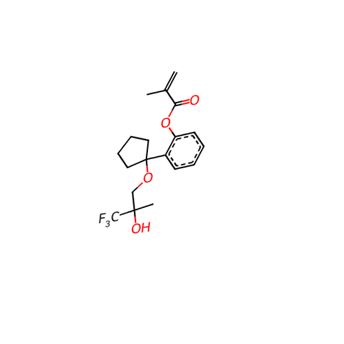 C=C(C)C(=O)Oc1ccccc1C1(OCC(C)(O)C(F)(F)F)CCCC1